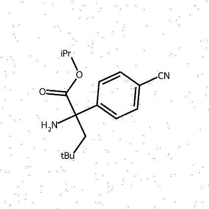 CC(C)OC(=O)C(N)(CC(C)(C)C)c1ccc(C#N)cc1